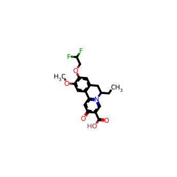 CCC1Cc2cc(OCC(F)F)c(OC)cc2-c2cc(=O)c(C(=O)O)cn21